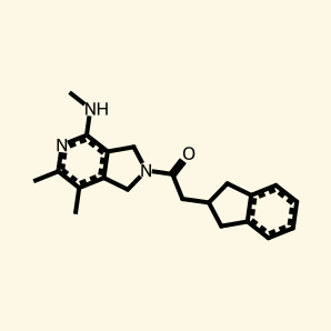 CNc1nc(C)c(C)c2c1CN(C(=O)CC1Cc3ccccc3C1)C2